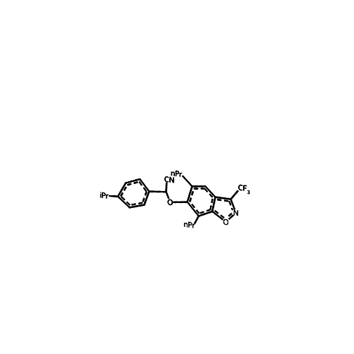 CCCc1cc2c(C(F)(F)F)noc2c(CCC)c1OC(C#N)c1ccc(C(C)C)cc1